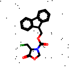 O=C1OCN(C(=O)OCC2c3ccccc3-c3ccccc32)C1CF